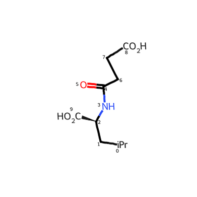 CC(C)C[C@H](NC(=O)CCC(=O)O)C(=O)O